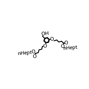 CCCCCCCOC(=O)CCCCOc1cc(CO)cc(OCCCCC(=O)OCCCCCCC)c1